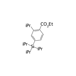 CCOC(=O)c1ccc([Si](C(C)C)(C(C)C)C(C)C)cc1C(C)C